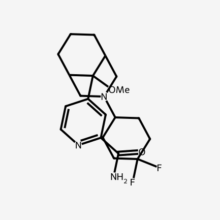 COC1(c2ccnc(C(N)=O)c2)C2CCCC1CN(C1CCC(F)(F)CC1)C2